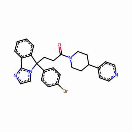 O=C(CCC1(c2ccc(Br)cc2)c2ccccc2-c2nccn21)N1CCC(c2ccncc2)CC1